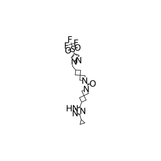 O=C(N1CC2(CC(Cn3cc(S(=O)(=O)C(F)(F)F)cn3)C2)C1)N1CC2(CC(c3nc(C4CC4)n[nH]3)C2)C1